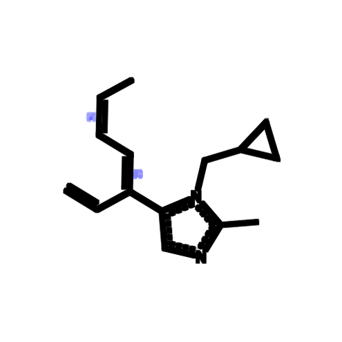 C=C/C(=C\C=C/C)c1cnc(C)n1CC1CC1